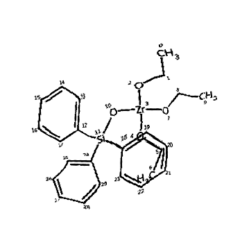 CC[O][Zr]([O]CC)([O]CC)[O][Si](c1ccccc1)(c1ccccc1)c1ccccc1